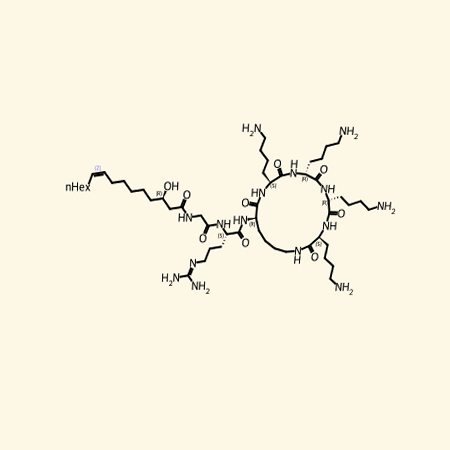 CCCCCC/C=C\CCCCC[C@@H](O)CC(=O)NCC(=O)N[C@@H](CCCN=C(N)N)C(=O)N[C@@H]1CCCCNC(=O)[C@H](CCCCN)NC(=O)[C@@H](CCCCN)NC(=O)[C@@H](CCCCN)NC(=O)[C@H](CCCCN)NC1=O